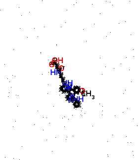 COc1ccc(-c2nn3c(NCCCCNC(=O)CCC(=O)O)cccc3c2-c2ccnc(NC3CCCC3)n2)cc1